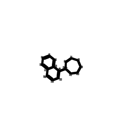 c1ccc2c(N3CCCCCC3)cccc2c1